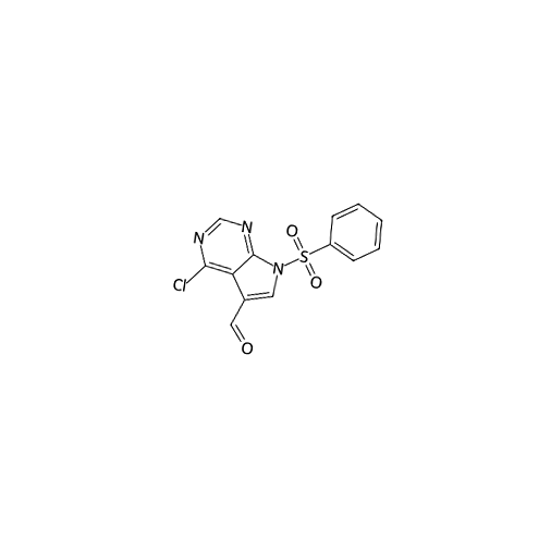 O=Cc1cn(S(=O)(=O)c2ccccc2)c2ncnc(Cl)c12